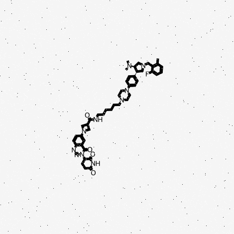 Cc1cccc(F)c1CN1C[C@H](c2ccc(N3CCN(CCCCCCNC(=O)C4CN(c5ccc6nnn(C7CCC(=O)NC7=O)c(=O)c6c5)C4)CC3)cc2)[C@@H](N(C)C)C1